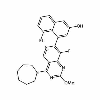 CCc1cccc2cc(O)cc(-c3ncc4c(N5CCCCCC5)nc(OC)nc4c3F)c12